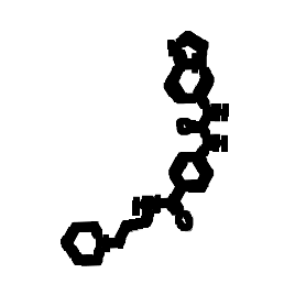 O=C(Nc1ccc(C(=O)NCCCN2CCCCC2)cc1)Nc1ccc2nccn2c1